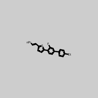 CCC/C=C/c1ccc(-c2ccc(-c3ccc(CC)cc3)cc2F)s1